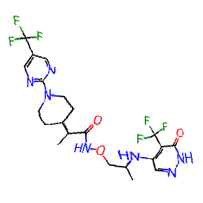 CC(CONC(=O)C(C)C1CCN(c2ncc(C(F)(F)F)cn2)CC1)Nc1cn[nH]c(=O)c1C(F)(F)F